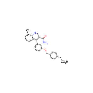 NC(=O)c1cnc2c(C(F)(F)F)cccc2c1-c1cccc(OCc2ccc(CC(=O)O)cc2)c1